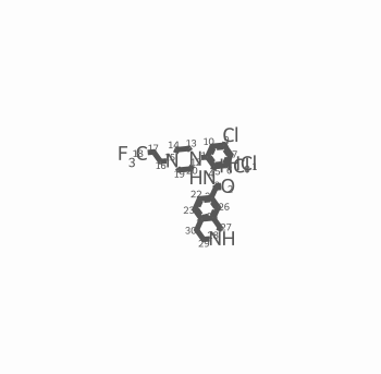 Cl.Cl.O=C(Nc1ccc(Cl)cc1N1CCN(CCC(F)(F)F)CC1)c1ccc2c(c1)CNCC2